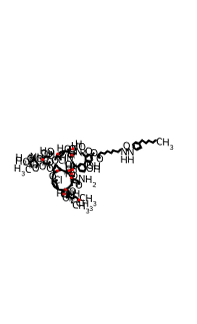 CCCCCCc1ccc(NC(=O)NCCCCCCCC(=O)Oc2cc(O)c3c(c2)[C@@H](C(=O)O)NC(=O)[C@H]2NC(=O)[C@H](CC(=O)[C@@H]4NC(=O)[C@H](CC(N)=O)CC(=O)[C@H](NC(=O)[C@H](CC)CC(C)C)[C@H](O)c5ccc(c(Cl)c5)Oc5cc4cc(c5O[C@@H]4O[C@H](CO)[C@@H](O)[C@H](O)[C@H]4O[C@H]4C[C@](C)(N)[C@H](O)[C@H](C)O4)Oc4ccc(cc4Cl)[C@H]2O)c2ccc(O)c-3c2)cc1